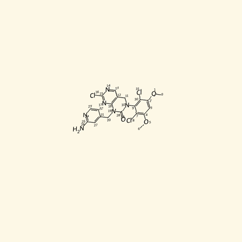 COc1cc(OC)c(Cl)c(N2Cc3cnc(Cl)nc3N(Cc3ccnc(N)c3)C2=O)c1Cl